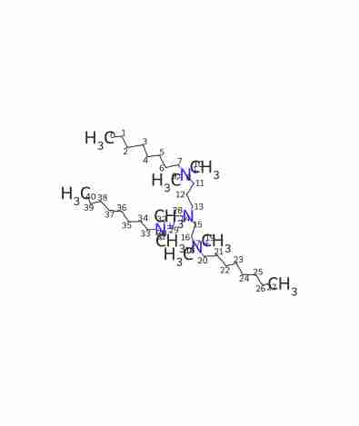 CCCCCCCC[N+](C)(C)CCCN(CC[N+](C)(C)CCCCCCCC)CC[N+](C)(C)CCCCCCCC